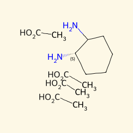 CC(=O)O.CC(=O)O.CC(=O)O.CC(=O)O.NC1CCCC[C@@H]1N